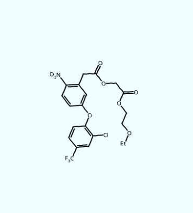 CCOCCOC(=O)COC(=O)Cc1cc(Oc2ccc(C(F)(F)F)cc2Cl)ccc1[N+](=O)[O-]